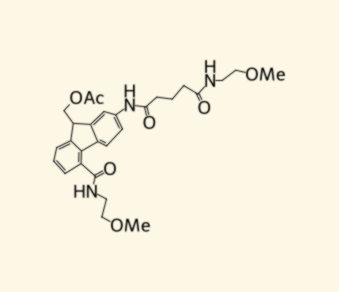 COCCNC(=O)CCCC(=O)Nc1ccc2c(c1)C(COC(C)=O)c1cccc(C(=O)NCCOC)c1-2